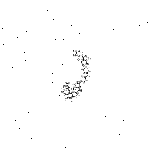 Cn1nc(C2CCC(=O)NC2=O)c2ccc(C3CCN(CC4CCN(c5ncc(Cl)c(Nc6ccc7c(c6)c6c(c(=O)n7C)OCC(F)(F)[C@H](C7CC7)N6)n5)CC4)CC3)c(F)c21